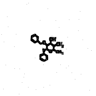 CC1OC(Sc2ccccc2)C(OCc2ccccc2)C(O)C1C